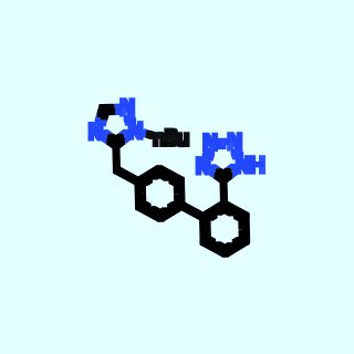 CCCCn1ncnc1Cc1ccc(-c2ccccc2-c2nnn[nH]2)cc1